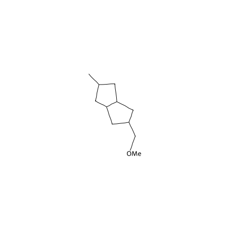 COCC1CC2CC(C)CC2C1